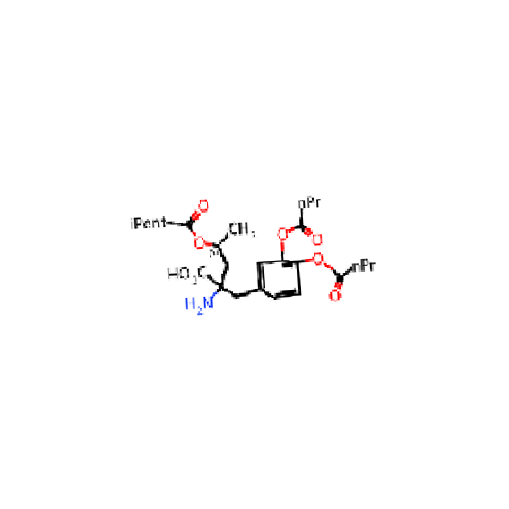 CCCC(=O)Oc1ccc(CC(N)(C[C@H](C)OC(=O)C(C)CCC)C(=O)O)cc1OC(=O)CCC